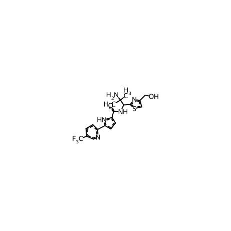 CC(C)(N)C(NC(=O)c1ccc(-c2ccc(C(F)(F)F)cn2)[nH]1)c1nc(CO)cs1